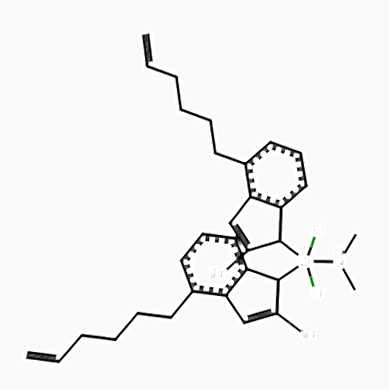 C=CCCCCc1cccc2c1C=C(C(C)C)[CH]2[Zr]([Cl])([Cl])([CH]1C(C(C)C)=Cc2c(CCCCC=C)cccc21)[SiH](C)C